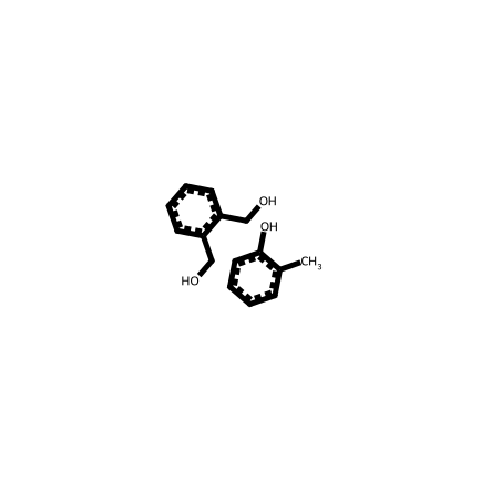 Cc1ccccc1O.OCc1ccccc1CO